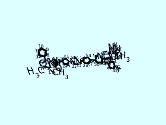 CC[C@@H]([C@H](C)OCc1ccccc1)n1ncn(-c2ccc(N3CCN(c4ccc(-c5ccc(C(F)(F)C(O)(Cn6ncnc6C)c6cccc(F)c6)nc5)cc4)CC3)cc2)c1=O